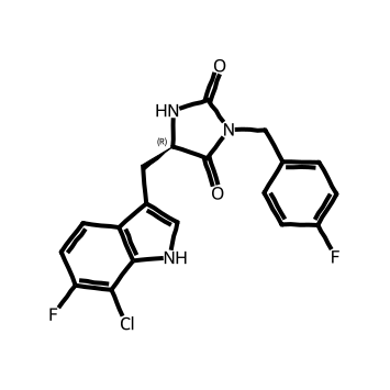 O=C1N[C@H](Cc2c[nH]c3c(Cl)c(F)ccc23)C(=O)N1Cc1ccc(F)cc1